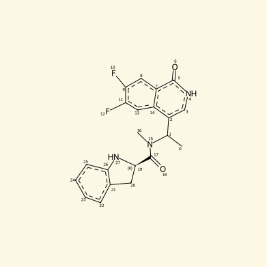 CC(c1c[nH]c(=O)c2cc(F)c(F)cc12)N(C)C(=O)[C@H]1Cc2ccccc2N1